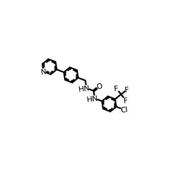 O=C(NCc1ccc(-c2cccnc2)cc1)Nc1ccc(Cl)c(C(F)(F)F)c1